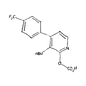 CCCCc1c(-c2ccc(C(F)(F)F)cc2)ccnc1OC(=O)O